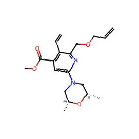 C=CCOCc1nc(N2C[C@@H](C)O[C@@H](C)C2)cc(C(=O)OC)c1C=C